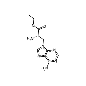 CCOC(=O)[C@@H](N)Cn1cnc2c(N)ncnc21